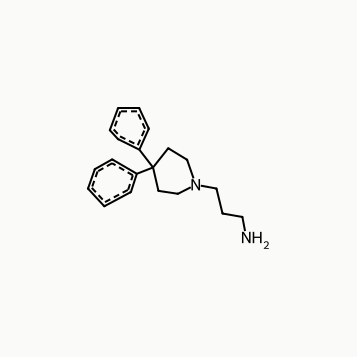 NCCCN1CCC(c2ccccc2)(c2ccccc2)CC1